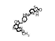 COc1ccc2ncc3c(c2n1)C(CN1CCC(NCc2ccc4c(n2)NC(=O)CS4)CC1)CO3